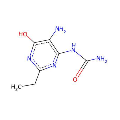 CCc1nc(O)c(N)c(NC(N)=O)n1